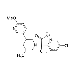 COc1ccc(C2CC(C)CN(C(C)(C(N)=O)c3ccc(Cl)cn3)C2)cn1